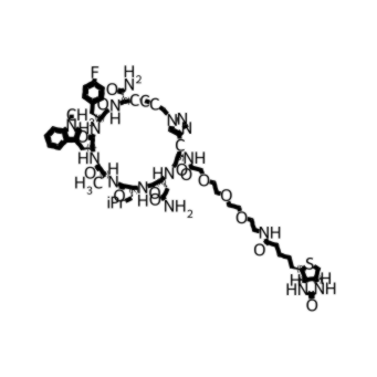 CC(C)C[C@H]1NC(=O)[C@@H](CC(N)=O)NC(=O)[C@@H](NC(=O)COCCOCCOCCNC(=O)CCCC[C@H]2SC[C@H]3NC(=O)N[C@H]32)Cc2cn(nn2)CCCC[C@@H](C(N)=O)NC(=O)[C@H](Cc2ccc(F)cc2)NC(=O)[C@H](Cc2cn(C)c3ccccc23)NC(=O)[C@@H](C)NC1=O